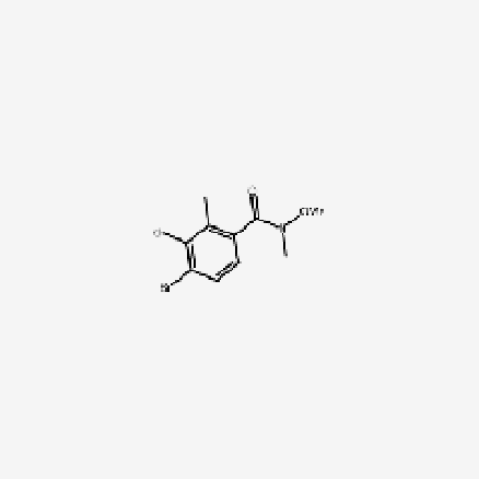 CON(C)C(=O)c1ccc(Br)c(Cl)c1C